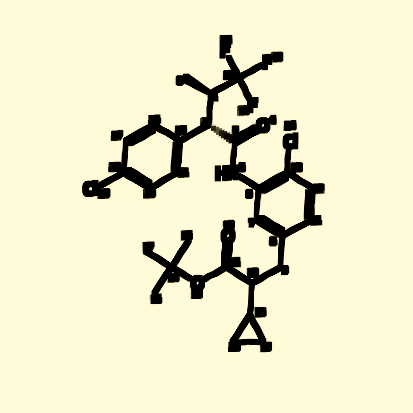 C[C@H]([C@H](C(=O)Nc1cc(CC(C(=O)OC(C)(C)C)C2CC2)ccc1Cl)c1ccc(Cl)cc1)C(F)(F)F